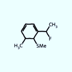 CSC1[C](C)C=CC=C1C(C)F